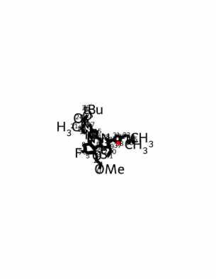 COCCOc1cc(F)cc(F)c1-c1c(-c2cc3n(n2)C[C@@H](C)N(C(=O)OC(C)(C)C)C3)nc(C23CC(CN(C)C)(C2)C3)c2ccsc12